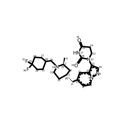 C[C@H]1C[C@H](Cc2ccn3ncc(N4CCC(=O)NC4=O)c3c2)CCN1CC1CCC(F)(F)CC1